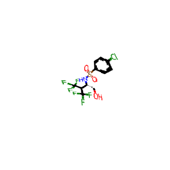 O=S(=O)(N[C@H](CO)C(C(F)(F)F)C(F)(F)F)c1ccc(Cl)cc1